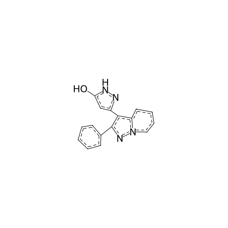 Oc1cc(-c2c(-c3ccccc3)nn3ccccc23)n[nH]1